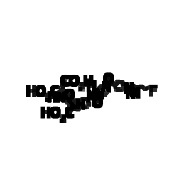 O=C(O)CC[C@H](NC(=O)CN[C@@H](Cc1ccc(NC(=O)N2CCN(C(=O)c3ccc(-n4cc(CCCF)nn4)cc3)CC2)cc1)C(=O)O)C(=O)O